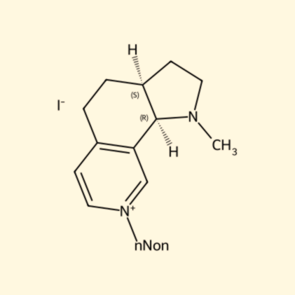 CCCCCCCCC[n+]1ccc2c(c1)[C@H]1[C@@H](CC2)CCN1C.[I-]